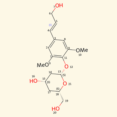 COc1cc(/C=C/CO)cc(OC)c1O[C@H]1C[C@@H](O)C[C@@H](CO)O1